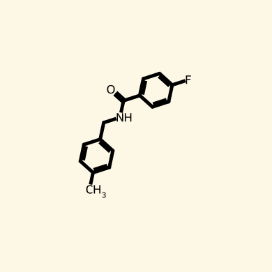 Cc1ccc(CNC(=O)c2ccc(F)cc2)cc1